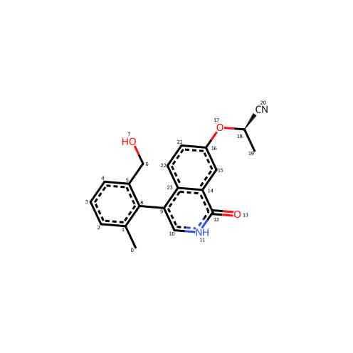 Cc1cccc(CO)c1-c1c[nH]c(=O)c2cc(O[C@H](C)C#N)ccc12